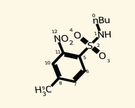 CCCCNS(=O)(=O)c1ccc(C)cc1[N+](=O)[O-]